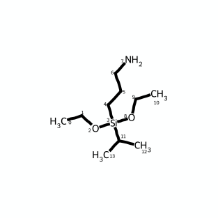 CCO[Si](CCCN)(OCC)C(C)C